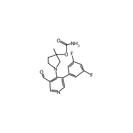 CC1(OC(N)=O)CCN(c2c(C=O)cncc2-c2cc(F)cc(F)c2)C1